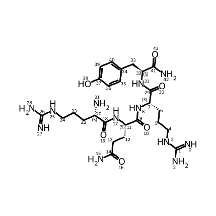 N=C(N)NCCC[C@H](NC(=O)[C@H](CCC(N)=O)NC(=O)[C@@H](N)CCCNC(=N)N)C(=O)N[C@@H](Cc1ccc(O)cc1)C(N)=O